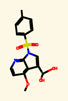 COc1ccnc2c1c(B(O)O)cn2S(=O)(=O)c1ccc(C)cc1